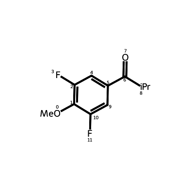 COc1c(F)cc(C(=O)C(C)C)cc1F